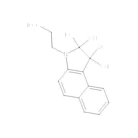 CC1(Br)c2c(ccc3ccccc23)N(CCC(=O)O)C1(C)C